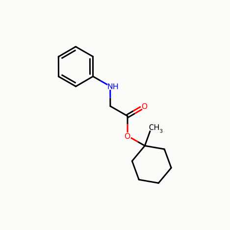 CC1(OC(=O)CNc2ccccc2)CCCCC1